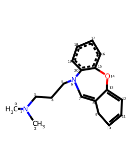 CN(C)CCCN1C=C2CC=CC=C2Oc2ccccc21